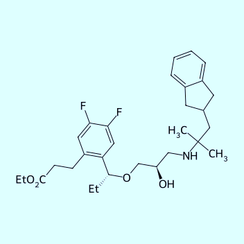 CCOC(=O)CCc1cc(F)c(F)cc1[C@@H](CC)OC[C@H](O)CNC(C)(C)CC1Cc2ccccc2C1